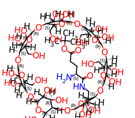 CC(C)(C)OC(=O)CC[C@H](N)C(=O)NC[C@H]1O[C@@H]2O[C@H]3[C@H](O)[C@@H](O)[C@@H](O[C@H]4[C@H](O)[C@@H](O)[C@@H](O[C@H]5[C@H](O)[C@@H](O)[C@@H](O[C@H]6[C@H](O)[C@@H](O)[C@@H](O[C@H]7[C@H](O)[C@@H](O)[C@@H](O[C@H]8[C@H](O)[C@@H](O)[C@@H](O[C@H]1[C@H](O)[C@H]2O)O[C@@H]8CO)O[C@@H]7CO)O[C@@H]6CO)O[C@@H]5CO)O[C@@H]4CO)O[C@@H]3CO